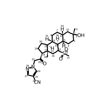 C[C@@]1(O)CC[C@H]2[C@H](CC[C@@H]3[C@@H]2C(S(C)(=O)=O)C[C@]2(C)[C@@H](C(=O)Cn4cc(C#N)cn4)CC[C@@H]32)C1